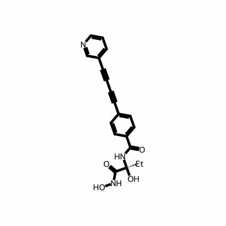 CC[C@@](O)(NC(=O)c1ccc(C#CC#Cc2cccnc2)cc1)C(=O)NO